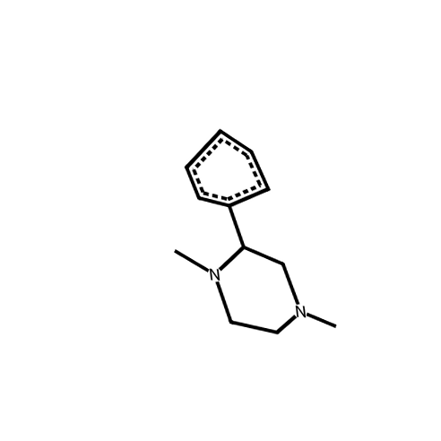 CN1CCN(C)C(c2ccccc2)C1